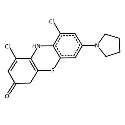 O=C1C=C(Cl)C2=C(C1)Sc1cc(N3CCCC3)cc(Cl)c1N2